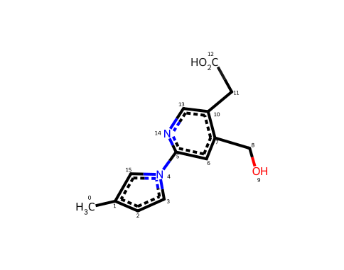 Cc1ccn(-c2cc(CO)c(CC(=O)O)cn2)c1